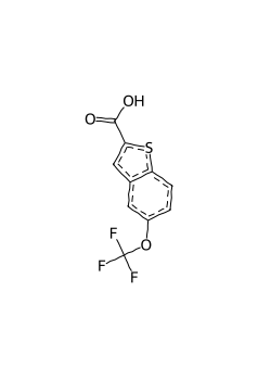 O=C(O)c1cc2cc(OC(F)(F)F)ccc2s1